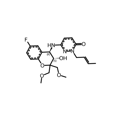 CC=CCn1nc(N[C@@H]2c3cc(F)ccc3OC(COC)(COC)[C@H]2O)ccc1=O